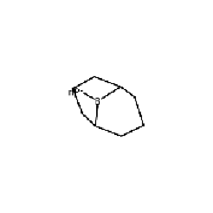 CCCB1C2CCCC1CCC2